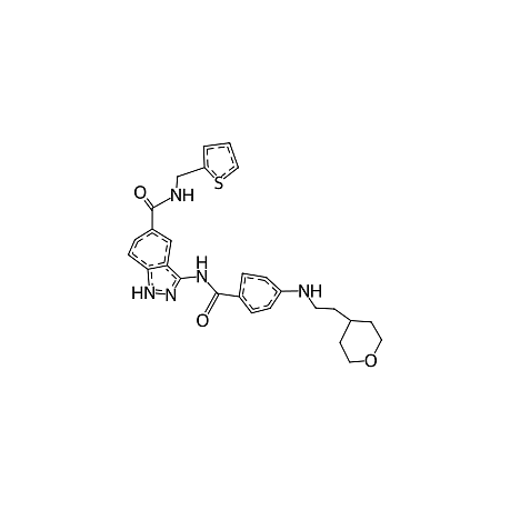 O=C(NCc1cccs1)c1ccc2[nH]nc(NC(=O)c3ccc(NCCC4CCOCC4)cc3)c2c1